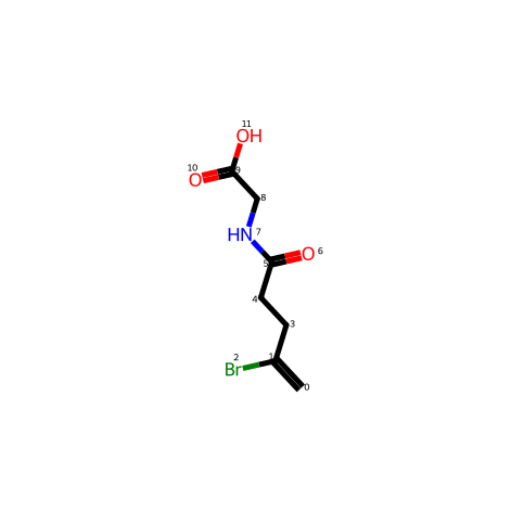 C=C(Br)CCC(=O)NCC(=O)O